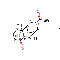 CC(C)C(=O)N1C[C@@H]2C[C@H](C1)[C@@H]1CCCC(=O)N1C2